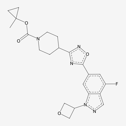 CC1(OC(=O)N2CCC(c3noc(-c4cc(F)c5cnn(C6COC6)c5c4)n3)CC2)CC1